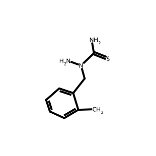 Cc1ccccc1CN(N)C(N)=S